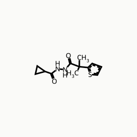 CC(C)(C(=O)NNC(=O)C1CC1)c1cccs1